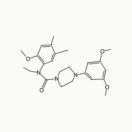 CCN(C(=O)N1CCN(c2cc(OC)cc(OC)c2)CC1)c1cc(C)c(C)cc1OC